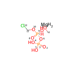 CO.O=P(O)(O)OP(=O)(O)OCCl.[MgH2]